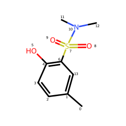 Cc1ccc(O)c(S(=O)(=O)N(C)C)c1